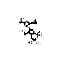 CC1(C)Cc2c(sc(-n3nc(C(N)=O)cc3C3CC3)c2C(N)=O)C(C)(C)O1